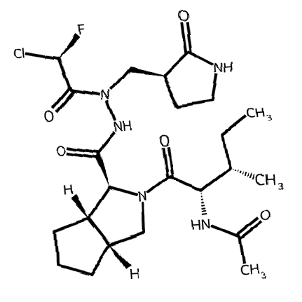 CC[C@H](C)[C@H](NC(C)=O)C(=O)N1C[C@@H]2CCC[C@@H]2[C@H]1C(=O)NN(C[C@@H]1CCNC1=O)C(=O)[C@H](F)Cl